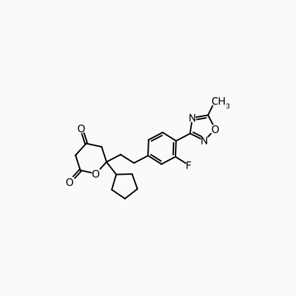 Cc1nc(-c2ccc(CCC3(C4CCCC4)CC(=O)CC(=O)O3)cc2F)no1